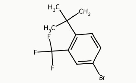 CC(C)(C)c1ccc(Br)cc1C(F)(F)F